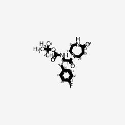 CC(C)(C)OC(=O)N[C@@H](Cc1ccc(F)cc1)C(=O)N1CCNC(=O)CC1